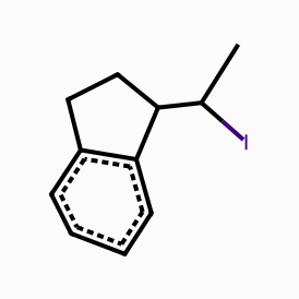 CC(I)C1CCc2ccccc21